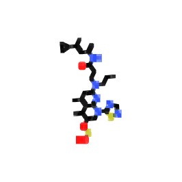 C=C(/C=C(\C)C1CC1)NC(=O)CCN(CCC)c1cc(C)c2c(n1)N(c1ncns1)C=C(OSO)C2=C